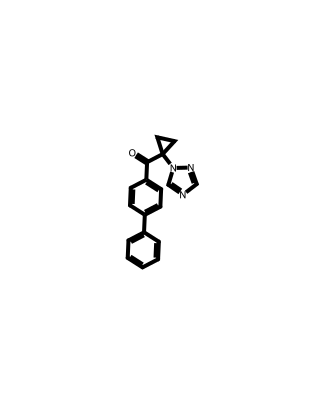 O=C(c1ccc(-c2ccccc2)cc1)C1(n2cncn2)CC1